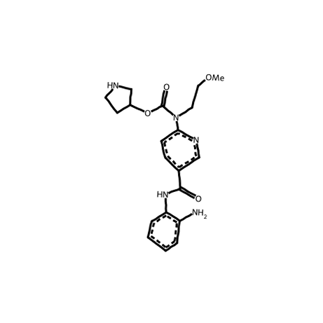 COCCN(C(=O)OC1CCNC1)c1ccc(C(=O)Nc2ccccc2N)cn1